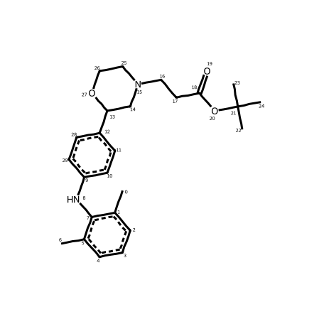 Cc1cccc(C)c1Nc1ccc(C2CN(CCC(=O)OC(C)(C)C)CCO2)cc1